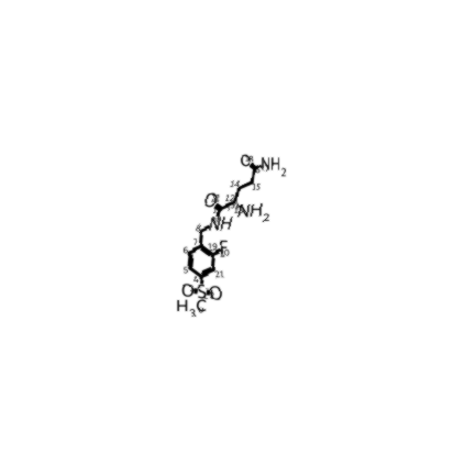 CS(=O)(=O)c1ccc(CNC(=O)[C@@H](N)CCC(N)=O)c(F)c1